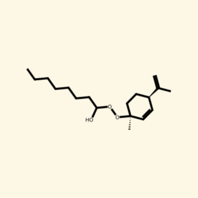 C=C(C)[C@H]1C=C[C@@](C)(OOC(O)CCCCCCC)CC1